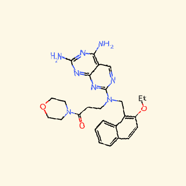 CCOc1ccc2ccccc2c1CN(CCC(=O)N1CCOCC1)c1ncc2c(N)nc(N)nc2n1